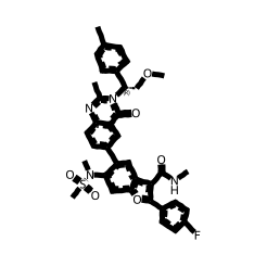 CNC(=O)c1c(-c2ccc(F)cc2)oc2cc(N(C)S(C)(=O)=O)c(-c3ccc4nc(C)n([C@@H](COC)c5ccc(C)cc5)c(=O)c4c3)cc12